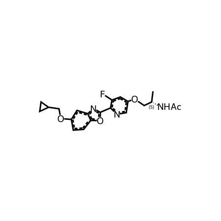 CC(=O)N[C@@H](C)COc1cnc(-c2nc3cc(OCC4CC4)ccc3o2)c(F)c1